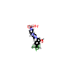 COC1CC(N2CCN(C3(C)CCN(C(=O)O)CC3)CC2C)c2ccc(C(F)(F)F)cc21